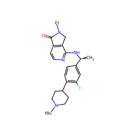 CCN1Cc2c(ccnc2N[C@@H](C)c2ccc(C3CCN(C(C)(C)C)CC3)c(F)c2)C1=O